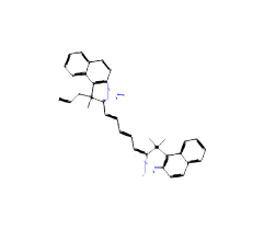 C=CCC1(C)C(/C=C/C=C/C=C2/N(C)c3ccc4ccccc4c3C2(C)C)=[N+](C)c2ccc3ccccc3c21